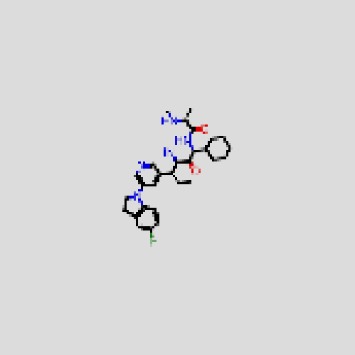 CC[C@H](C(=N)C(=O)[C@@H](NC(=O)[C@H](C)NC)C1CCCCC1)c1cncc(N2CCc3cc(F)ccc32)c1